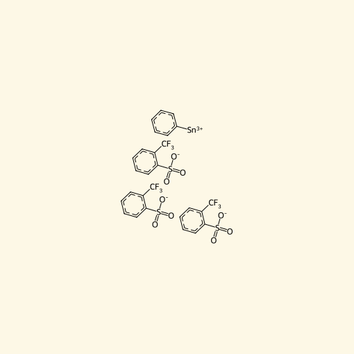 O=S(=O)([O-])c1ccccc1C(F)(F)F.O=S(=O)([O-])c1ccccc1C(F)(F)F.O=S(=O)([O-])c1ccccc1C(F)(F)F.[Sn+3][c]1ccccc1